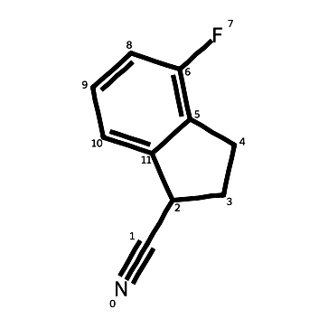 N#CC1CCc2c(F)cccc21